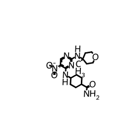 CC1(Nc2ncc([N+](=O)[O-])c(NC3CCC(C(N)=O)CC3)n2)CCOCC1